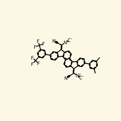 [C-]#[N+]/C(C#N)=C1/c2cc(-c3cc(C(F)(F)F)cc(C(F)(F)F)c3)ccc2-c2c1ccc1c3c(ccc21)/C(=C(\C#N)[N+]#[C-])c1cc(-c2cc(C)cc(C)c2)ccc1-3